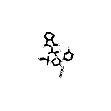 CC(C(=O)N1[C@H](c2cccc(F)c2)[C@@H](N=[N+]=[N-])C[C@@H]1C(C)(C)C#N)N1C(=O)c2ccccc2C1=O